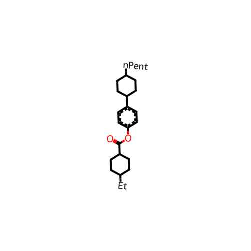 CCCCCC1CCC(c2ccc(OC(=O)C3CCC(CC)CC3)cc2)CC1